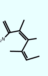 C=C(N)/C(C)=C(C)\C(C)=C/C